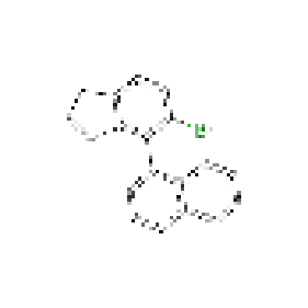 Brc1ccc2c(c1-c1cccc3ccccc13)C=CC2